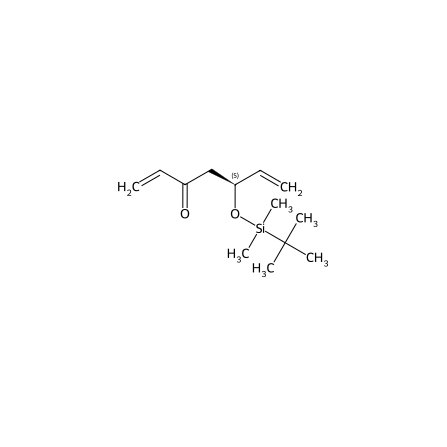 C=CC(=O)C[C@@H](C=C)O[Si](C)(C)C(C)(C)C